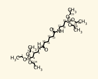 CCO[Si](CCCNC(=O)CCCCC(=O)NCCC[Si](OCC)(OCC)OCC)(OCC)OCC